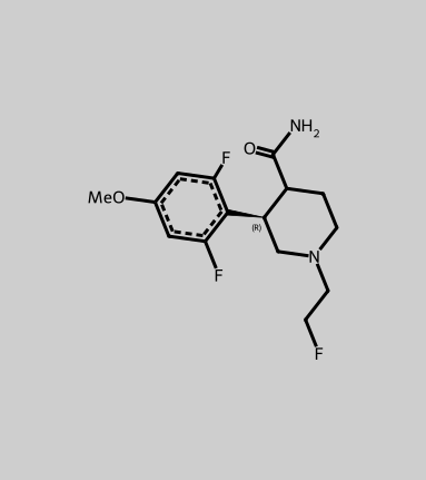 COc1cc(F)c([C@@H]2CN(CCF)CCC2C(N)=O)c(F)c1